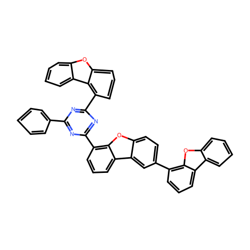 c1ccc(-c2nc(-c3cccc4c3oc3ccc(-c5cccc6c5oc5ccccc56)cc34)nc(-c3cccc4oc5ccccc5c34)n2)cc1